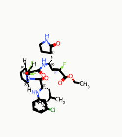 CCOC(=O)/C(F)=C/[C@@H](C[C@@H]1CCNC1=O)NC(=O)[C@H]1[C@H]2CC[C@H](CC2(F)F)N1C(=O)[C@H](CC(C)C)Nc1cccc(Cl)c1